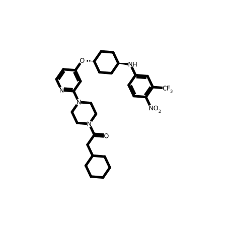 O=C(CC1CCCCC1)N1CCN(c2cc(O[C@H]3CC[C@H](Nc4ccc([N+](=O)[O-])c(C(F)(F)F)c4)CC3)ccn2)CC1